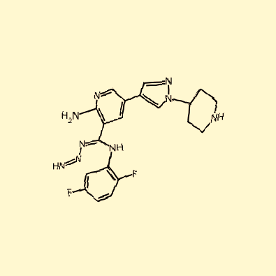 N=N/N=C(\Nc1cc(F)ccc1F)c1cc(-c2cnn(C3CCNCC3)c2)cnc1N